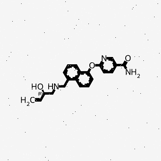 C=C[C@@H](O)CNCc1cccc2c(Oc3ccc(C(N)=O)cn3)cccc12